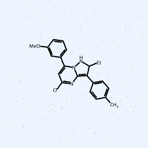 CCC1NN2C(c3cccc(OC)c3)=CC(Cl)=NC2=C1c1ccc(C)cc1